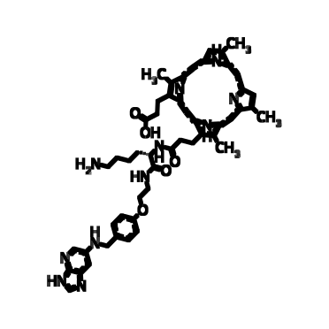 CC1=Cc2cc3[nH]c(cc4nc(cc5[nH]c(cc1n2)c(C)c5CCC(=O)N[C@@H](CCCCN)C(=O)NCCOc1ccc(CNc2cnc5[nH]cnc5c2)cc1)C(CCC(=O)O)=C4C)cc3C